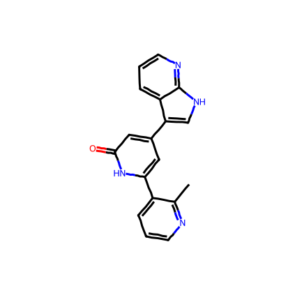 Cc1ncccc1-c1cc(-c2c[nH]c3ncccc23)cc(=O)[nH]1